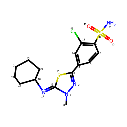 Cn1nc(-c2ccc(S(N)(=O)=O)c(Cl)c2)sc1=NC1CCCCC1